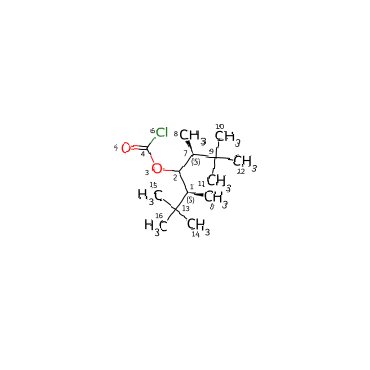 C[C@H](C(OC(=O)Cl)[C@@H](C)C(C)(C)C)C(C)(C)C